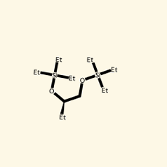 CC[C@H](CO[Si](CC)(CC)CC)O[Si](CC)(CC)CC